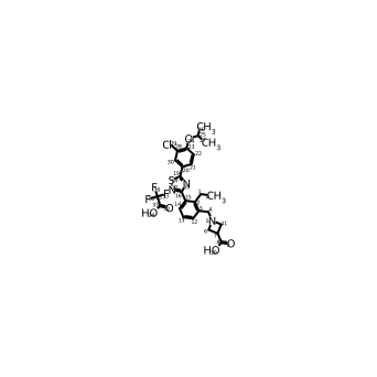 CCc1c(CN2CC(C(=O)O)C2)cccc1-c1nsc(-c2ccc(OC(C)C)c(Cl)c2)n1.O=C(O)C(F)(F)F